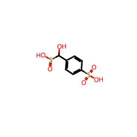 O=S(O)C(O)c1ccc(S(=O)(=O)O)cc1